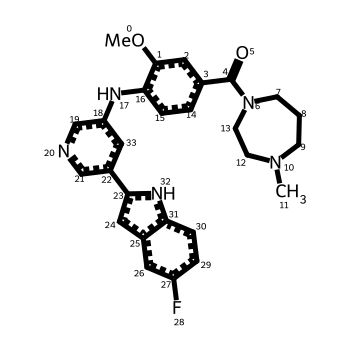 COc1cc(C(=O)N2CCCN(C)CC2)ccc1Nc1cncc(-c2cc3cc(F)ccc3[nH]2)c1